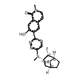 CN(c1cnc(-c2cc3ccn(C)c(=O)c3cc2O)nn1)[C@H]1C[C@@H]2CC[C@@H](N2)[C@H]1F